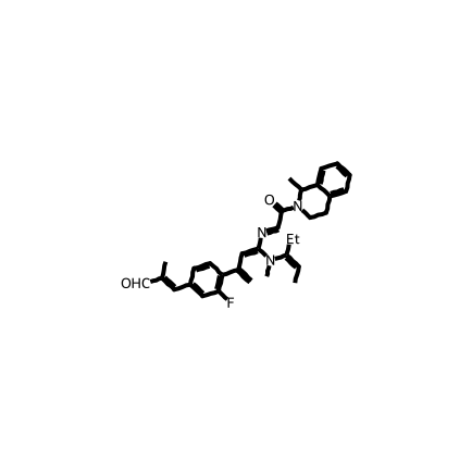 C=C(/C=C(/N=C/C(=O)N1CCc2ccccc2C1C)N(C)/C(=C\C)CC)c1ccc(/C=C(\C)C=O)cc1F